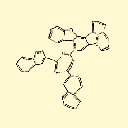 c1ccc2cc(-c3nc(-c4ccc5ccccc5c4)nc(-c4cc5c(c6oc7ccccc7c46)-c4cccc6cccc-5c46)n3)ccc2c1